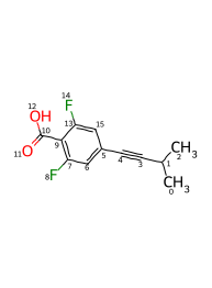 CC(C)C#Cc1cc(F)c(C(=O)O)c(F)c1